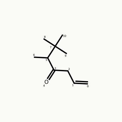 C=CCC(=O)C(C)C(C)(C)C